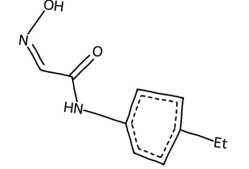 CCc1ccc(NC(=O)/C=N\O)cc1